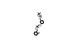 CC(C)(COc1cccc(CO[Si](C)(C)C(C)(C)C)c1)OCc1ccccc1F